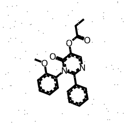 CCC(=O)Oc1cnc(-c2ccccc2)n(-c2ccccc2OC)c1=O